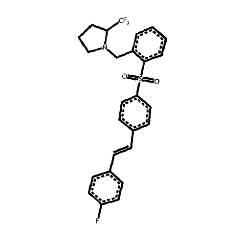 O=S(=O)(c1ccc(C=Cc2ccc(F)cc2)cc1)c1ccccc1CN1CCCC1C(F)(F)F